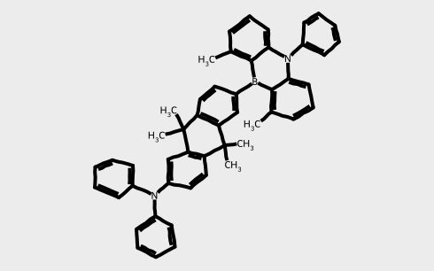 Cc1cccc2c1B(c1ccc3c(c1)C(C)(C)c1ccc(N(c4ccccc4)c4ccccc4)cc1C3(C)C)c1c(C)cccc1N2c1ccccc1